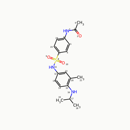 CC(=O)Nc1ccc(S(=O)(=O)Nc2ccc(NC(C)C)c(C)c2)cc1